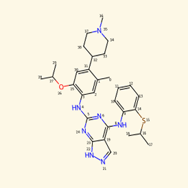 Cc1cc(Nc2nc(Nc3ccccc3SC(C)C)c3cn[nH]c3n2)c(OC(C)C)cc1C1CCN(C)CC1